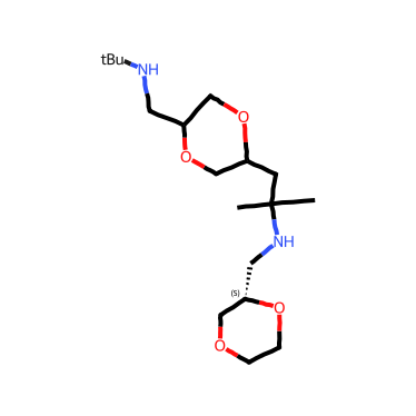 CC(C)(C)NCC1COC(CC(C)(C)NC[C@H]2COCCO2)CO1